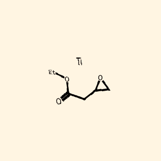 CCOC(=O)CC1CO1.[Ti]